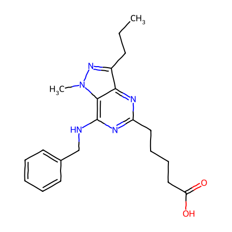 CCCc1nn(C)c2c(NCc3ccccc3)nc(CCCCC(=O)O)nc12